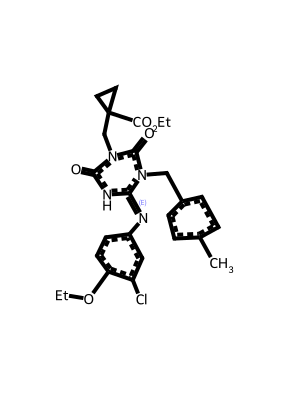 CCOC(=O)C1(Cn2c(=O)[nH]/c(=N\c3ccc(OCC)c(Cl)c3)n(Cc3ccc(C)cc3)c2=O)CC1